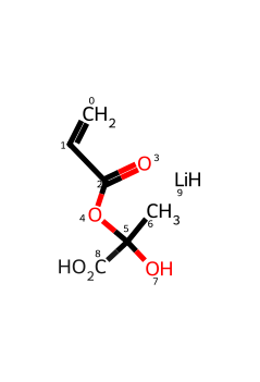 C=CC(=O)OC(C)(O)C(=O)O.[LiH]